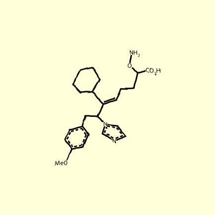 COc1ccc(CC(C(=CCCC(ON)C(=O)O)C2CCCCC2)n2ccnc2)cc1